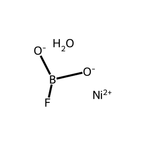 O.[Ni+2].[O-]B([O-])F